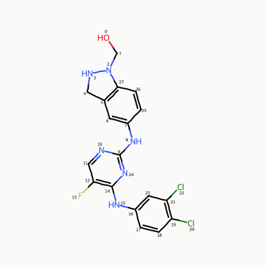 OCN1NCc2cc(Nc3ncc(F)c(Nc4ccc(Cl)c(Cl)c4)n3)ccc21